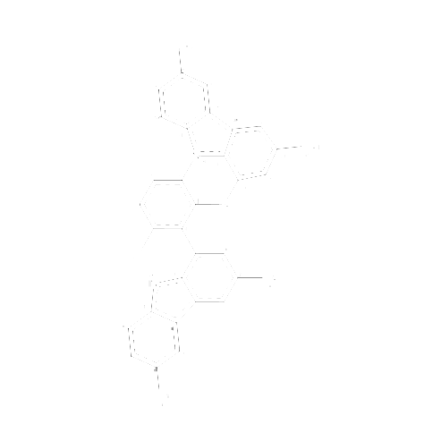 Cc1ccc2c(c1-c1cc(C(C)(C)C)cc3c1[nH]c1ccc(C(C)(C)C)cc13)Bc1cc(C(C)(C)C)cc3c4cc(C(C)(C)C)ccc4n-2c13